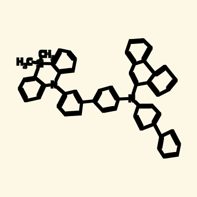 C[Si]1(C)c2ccccc2N(c2cccc(-c3ccc(N(c4ccc(-c5ccccc5)cc4)c4cc5ccccc5c5ccccc45)cc3)c2)c2ccccc21